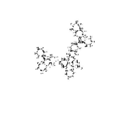 CC1(C)c2ccccc2-c2nc(-c3ccc4c(c3)c3ccccc3n4-c3ccccc3)nc(-c3ccc4cc(-n5c6ccccc6c6cc7ccccc7cc65)ccc4c3)c21